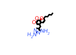 CCCCCC1C=Cc2c(Cc3cnc(N)nc3N)cc(OC)c(OC)c2O1